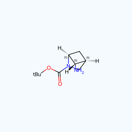 CC(C)(C)OC(=O)N1C[C@@H]2C[C@H]1[C@H]2N